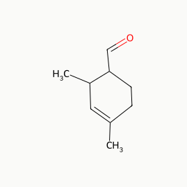 CC1=CC(C)C(C=O)CC1